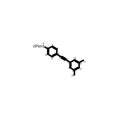 CCCCCc1ccc(C#Cc2cc(C)cc(C)c2)cc1